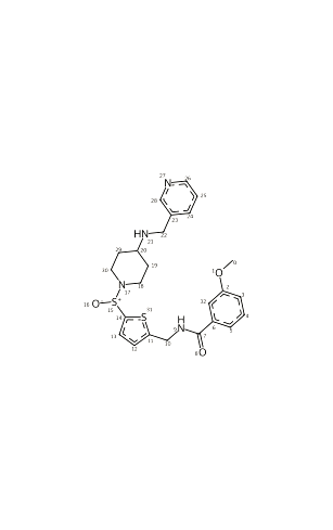 COc1cccc(C(=O)NCc2ccc([S+]([O-])N3CCC(NCc4cccnc4)CC3)s2)c1